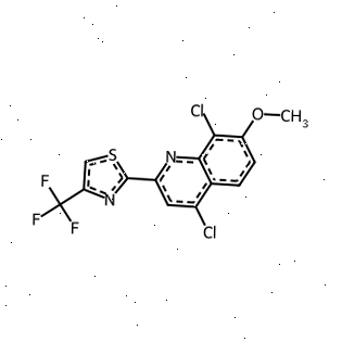 COc1ccc2c(Cl)cc(-c3nc(C(F)(F)F)cs3)nc2c1Cl